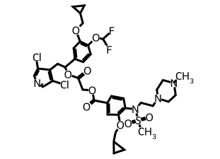 CN1CCN(CCN(c2ccc(C(=O)OCC(=O)OC(Cc3c(Cl)cncc3Cl)c3ccc(OC(F)F)c(OCC4CC4)c3)cc2OCC2CC2)S(C)(=O)=O)CC1